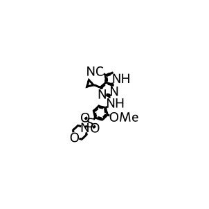 COc1cc(S(=O)(=O)N2CCOCC2)ccc1Nc1nc(C2CC2)c2c(C#N)c[nH]c2n1